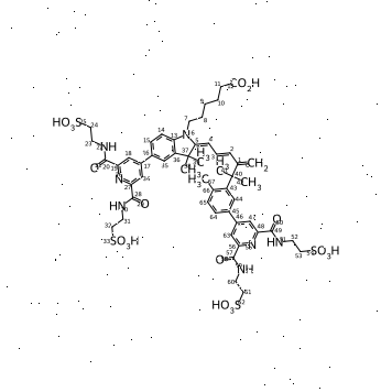 C=C(/C=C/C=C1/N(CCCCCC(=O)O)c2ccc(-c3cc(C(=O)NCCS(=O)(=O)O)nc(C(=O)NCCS(=O)(=O)O)c3)cc2C1(C)C)C(C)(C)c1cc(-c2cc(C(=O)NCCS(=O)(=O)O)nc(C(=O)NCCS(=O)(=O)O)c2)ccc1C